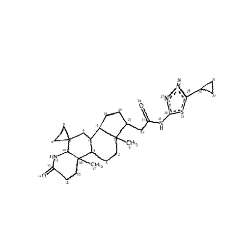 CC12CCC3C(CC4(CC4)C4NC(=O)CCC34C)C1CCC2CC(=O)Nc1nnc(C2CC2)s1